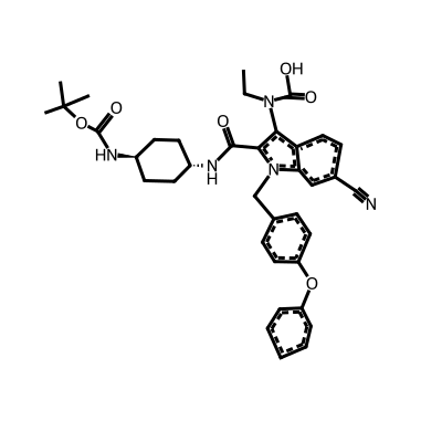 CCN(C(=O)O)c1c(C(=O)N[C@H]2CC[C@H](NC(=O)OC(C)(C)C)CC2)n(Cc2ccc(Oc3ccccc3)cc2)c2cc(C#N)ccc12